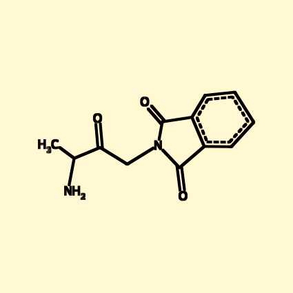 CC(N)C(=O)CN1C(=O)c2ccccc2C1=O